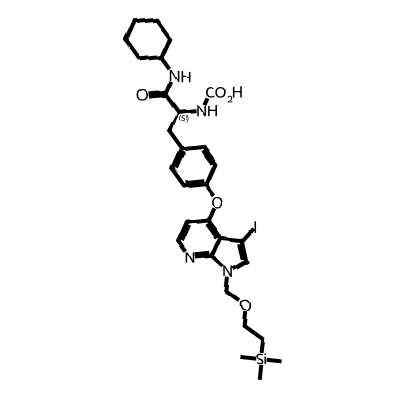 C[Si](C)(C)CCOCn1cc(I)c2c(Oc3ccc(C[C@H](NC(=O)O)C(=O)NC4CCCCC4)cc3)ccnc21